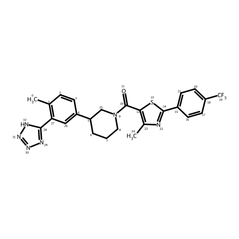 Cc1ccc(C2CCCN(C(=O)c3sc(-c4ccc(C(F)(F)F)cc4)nc3C)C2)cc1-c1nnn[nH]1